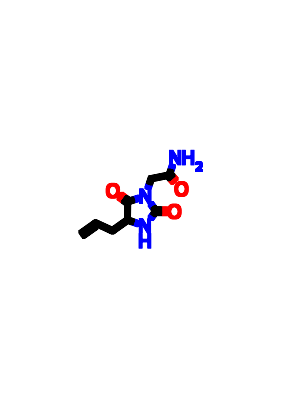 C=CCC1NC(=O)N(CC(N)=O)C1=O